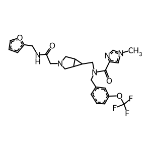 Cn1cnc(C(=O)N(Cc2cccc(OC(F)(F)F)c2)CC2C3CN(CC(=O)NCc4ccco4)CC32)c1